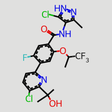 Cc1n[nH]c(Cl)c1NC(=O)c1cc(F)c(-c2ccc(Cl)c(C(C)(C)O)n2)cc1OC(C)C(F)(F)F